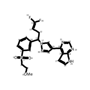 COCCS(=O)(=O)c1cccc(C(CC=C(F)F)n2cc(-c3ncnc4[nH]ccc34)cn2)c1